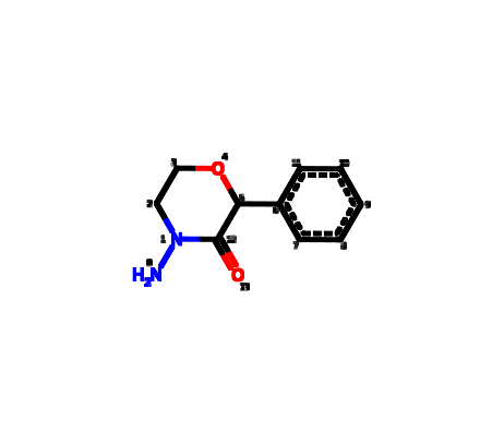 NN1CCOC(c2ccccc2)C1=O